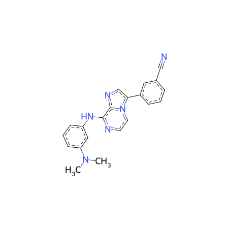 CN(C)c1cccc(Nc2nccn3c(-c4cccc(C#N)c4)cnc23)c1